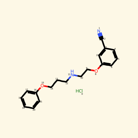 Cl.N#Cc1cccc(OCCNCCCOc2ccccc2)c1